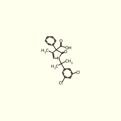 CC1=CN(C(C)(C)c2cc(Cl)cc(Cl)c2)C(=O)C1(C(=O)O)c1ccccc1